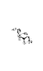 [N-]=[N+]=N[C@@H]1O[C@@H](n2ccc(N)nc2=O)[C@H](O)[C@@H]1O